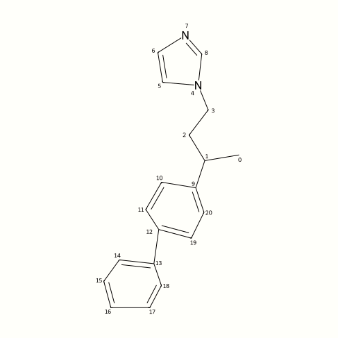 CC(CCn1ccnc1)c1ccc(-c2ccccc2)cc1